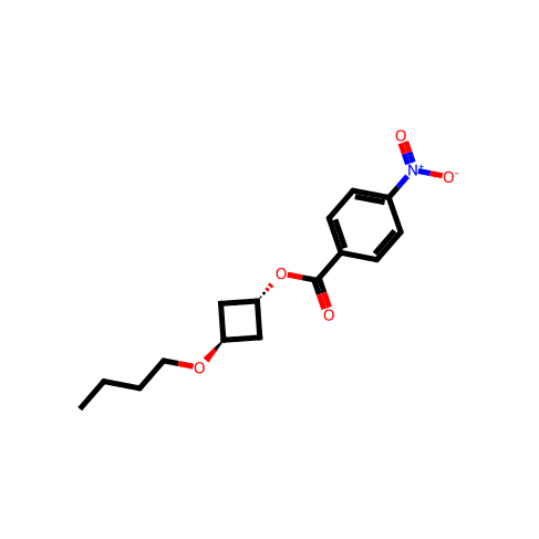 CCCCO[C@H]1C[C@H](OC(=O)c2ccc([N+](=O)[O-])cc2)C1